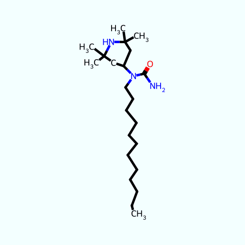 CCCCCCCCCCCCN(C(N)=O)C1CC(C)(C)NC(C)(C)C1